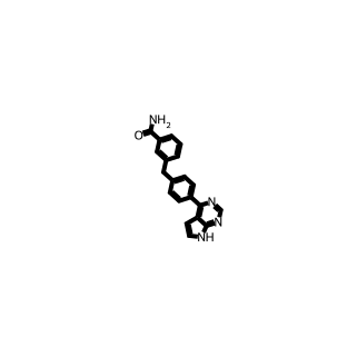 NC(=O)c1cccc(Cc2ccc(-c3ncnc4[nH]ccc34)cc2)c1